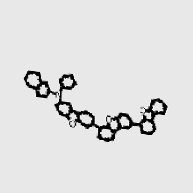 c1ccc(N(c2ccc3ccccc3c2)c2ccc3oc4cc(-c5cccc6c5oc5ccc(-c7cccc8c7oc7ccccc78)cc56)ccc4c3c2)cc1